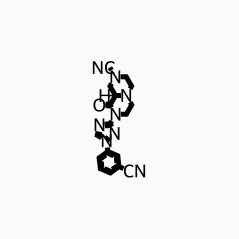 N#Cc1cccc(-n2cnc(N3CCN4CCN(C#N)C[C@@H]4C3=O)n2)c1